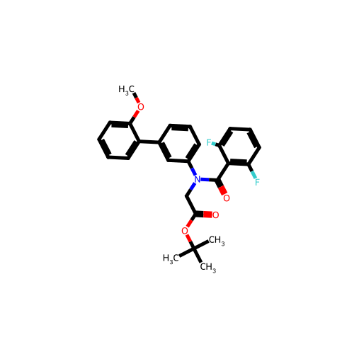 COc1ccccc1-c1cccc(N(CC(=O)OC(C)(C)C)C(=O)c2c(F)cccc2F)c1